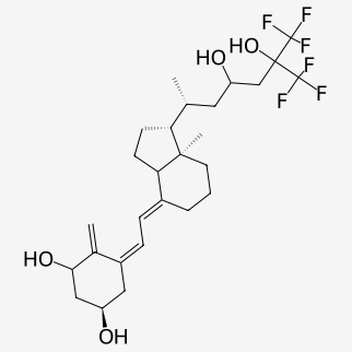 C=C1/C(=C\C=C2/CCC[C@@]3(C)C2CC[C@@H]3[C@H](C)CC(O)CC(O)(C(F)(F)F)C(F)(F)F)C[C@@H](O)CC1O